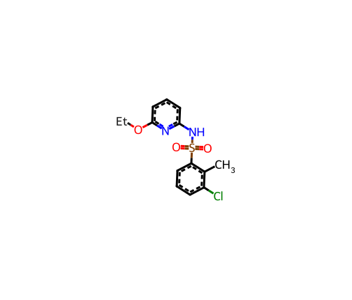 CCOc1cccc(NS(=O)(=O)c2cccc(Cl)c2C)n1